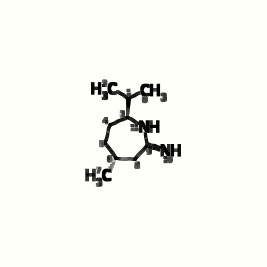 CC(C)[C@@H]1CC[C@@H](C)CC(=N)N1